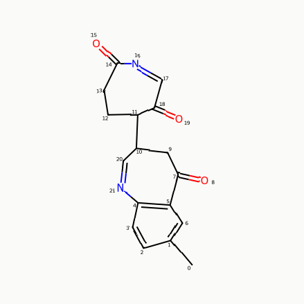 Cc1ccc2c(c1)C(=O)CC(C1CCC(=O)N=CC1=O)C=N2